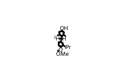 [2H]C([2H])(c1ccc(OCOC)c(C(C)C)c1)c1c(C)cc(O)cc1C